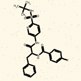 CC(C)(C)NS(=O)(=O)c1ccc(NC(=O)C(Cc2ccccc2)NC(=O)c2ccc(F)cc2)cn1